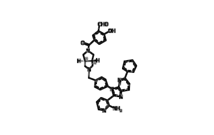 Nc1ncccc1-c1nc2ccc(-c3ccccc3)nc2n1-c1ccc(CN2C[C@H]3CN(C(=O)c4ccc(O)c(C=O)c4)C[C@@H]3C2)cc1